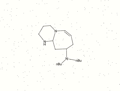 CCCCN(CCCC)C1CC=CN2CCCNC2C1